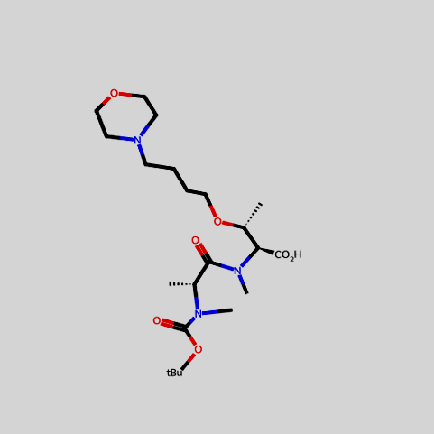 C[C@H](C(=O)N(C)[C@H](C(=O)O)[C@@H](C)OCCCCN1CCOCC1)N(C)C(=O)OC(C)(C)C